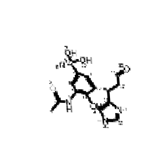 CC(=O)Nc1cc([As](=O)(O)O)ccc1O.O=CCCc1c[nH]cn1